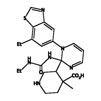 CCNC(=O)NC1(C2CNCCC2(C)C(=O)O)N=CC=CN1c1cc(CC)c2scnc2c1